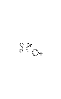 COC(=O)C(Br)Cc1ccc(F)cc1